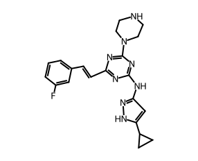 Fc1cccc(/C=C/c2nc(Nc3cc(C4CC4)[nH]n3)nc(N3CCNCC3)n2)c1